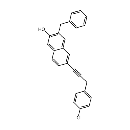 Oc1cc2ccc(C#CCc3ccc(Cl)cc3)cc2cc1Cc1ccccc1